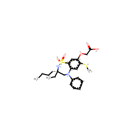 CCCC[C@@]1(CC)CN(c2ccccc2)c2cc(SC)c(OCC(=O)O)cc2S(=O)(=O)N1